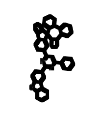 c1ccc(-c2cc(-c3ccc4c(c3)C3(c5ccccc5-c5ccccc5-c5ccccc53)c3ccccc3-4)nc(-c3ccc4oc5ccccc5c4c3)n2)cc1